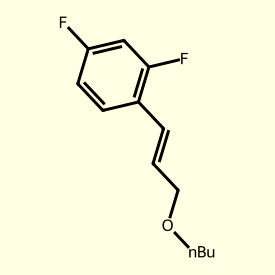 [CH2]CCCOCC=Cc1ccc(F)cc1F